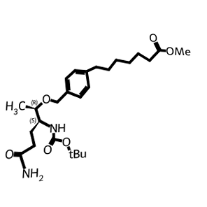 COC(=O)CCCCCCc1ccc(CO[C@H](C)[C@H](CCC(N)=O)NC(=O)OC(C)(C)C)cc1